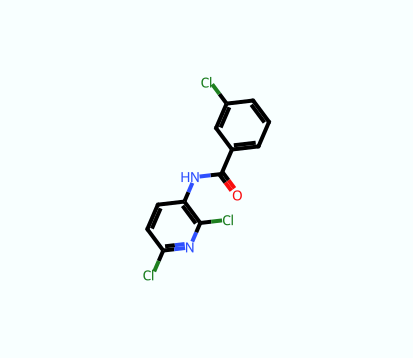 O=C(Nc1ccc(Cl)nc1Cl)c1cccc(Cl)c1